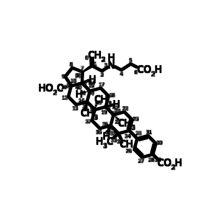 C=C(CNCCC(=O)O)[C@@H]1CC[C@]2(C(=O)O)CC[C@]3(C)[C@H](CC[C@@H]4[C@@]5(C)CC=C(c6ccc(C(=O)O)cc6)C(C)(C)[C@@H]5CC[C@]43C)[C@@H]12